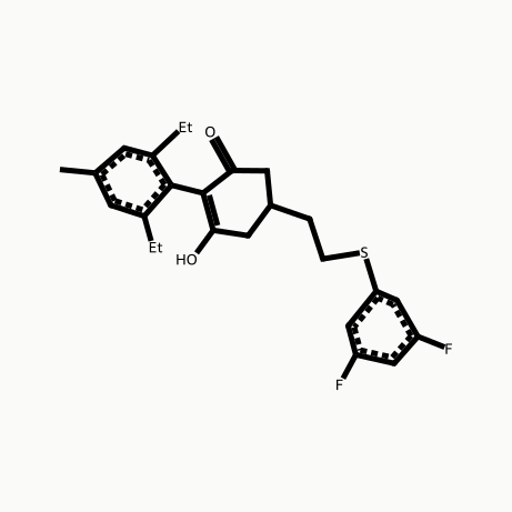 CCc1cc(C)cc(CC)c1C1=C(O)CC(CCSc2cc(F)cc(F)c2)CC1=O